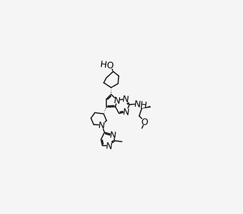 COC[C@H](C)Nc1ncc2c([C@H]3CCCN(c4ccnc(C)n4)C3)cc([C@H]3CC[C@H](O)CC3)n2n1